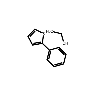 CCO.c1ccc(-c2cccs2)cc1